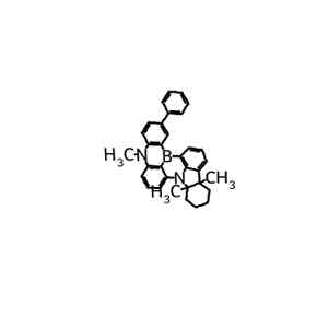 CN1c2ccc(-c3ccccc3)cc2B2c3cccc4c3N(c3cccc1c32)C1(C)CCCCC41C